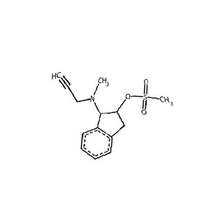 C#CCN(C)C1c2ccccc2CC1OS(C)(=O)=O